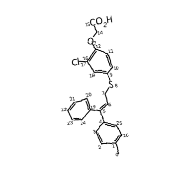 Cc1ccc(C(=CCSc2ccc(OCC(=O)O)c(Cl)c2)c2ccccc2)cc1